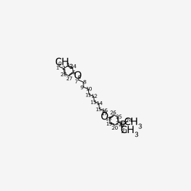 CCc1ccc(OCCCCCCCCCCOc2ccc(P(C)C)cc2)cc1